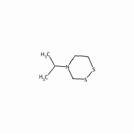 CC(C)N1CCSSC1